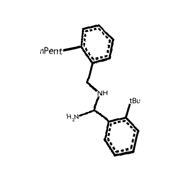 CCCCCc1ccccc1CNC(N)c1ccccc1C(C)(C)C